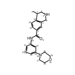 CC1CNCc2cc(C(=O)Nc3cncc(N4CCOCC4)c3)ccc21